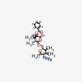 CC1[C@H](OCC2O[C@@H](C)C(N=[N+]=[N-])[C@@H](C)[C@@H]2C)OC2COC(c3ccccc3)O[C@H]2[C@@H]1C